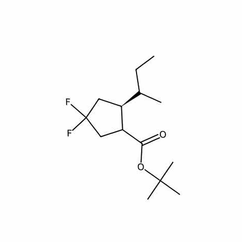 CCC(C)[C@@H]1CC(F)(F)CC1C(=O)OC(C)(C)C